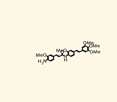 COc1cc(/C=C/C(=O)Nc2ccc(C=Cc3cc(OC)c(OC)c(OC)c3)cc2OC)ccc1N